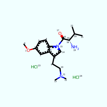 COc1ccc2c(c1)c(CCN(C)C)cn2C(=O)[C@@H](N)C(C)C.Cl.Cl